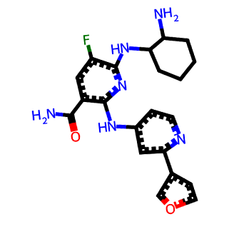 NC(=O)c1cc(F)c(NC2CCCCC2N)nc1Nc1ccnc(-c2ccoc2)c1